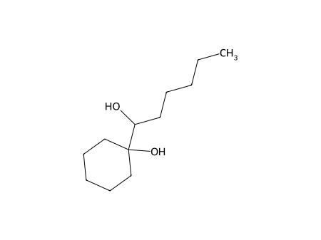 CCCCCC(O)C1(O)CCCCC1